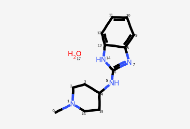 CN1CCC(Nc2nc3ccccc3[nH]2)CC1.O